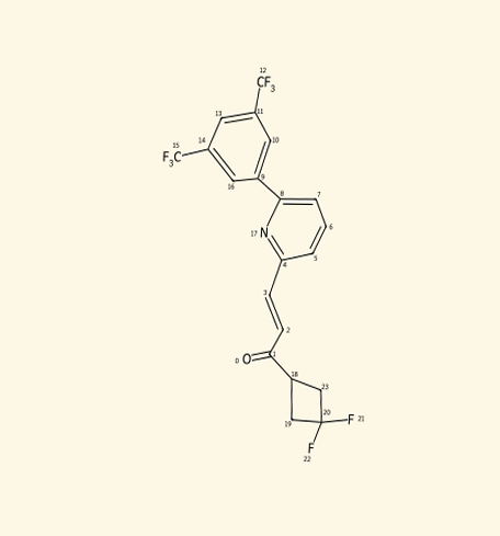 O=C(/C=C/c1cccc(-c2cc(C(F)(F)F)cc(C(F)(F)F)c2)n1)C1CC(F)(F)C1